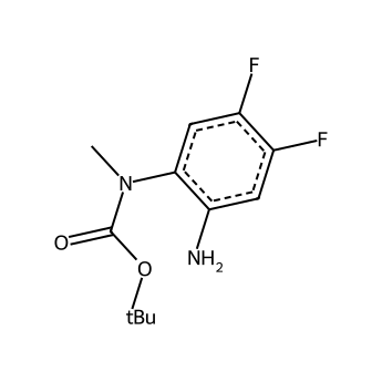 CN(C(=O)OC(C)(C)C)c1cc(F)c(F)cc1N